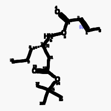 C/C=C/C(=O)ON[C@@H](CCC)CC(=O)OC(C)(C)C